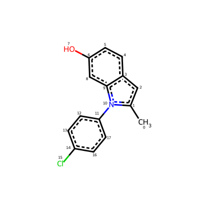 Cc1cc2ccc(O)cc2n1-c1ccc(Cl)cc1